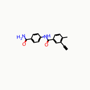 C#Cc1cc(C(=O)Nc2ccc(C(N)=O)cc2)ccc1C